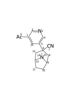 CC(=O)c1cncc(C2(C#N)CC3CCC(C2)N3C)c1